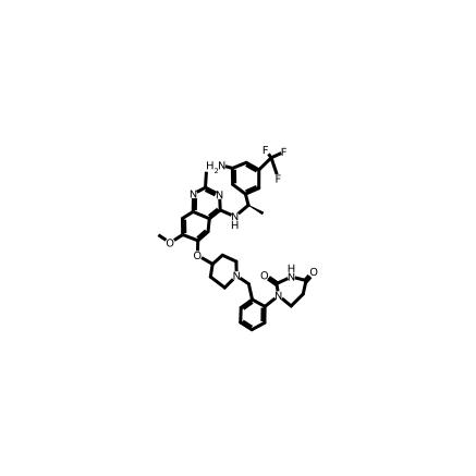 COc1cc2nc(C)nc(N[C@H](C)c3cc(N)cc(C(F)(F)F)c3)c2cc1OC1CCN(Cc2ccccc2N2CCC(=O)NC2=O)CC1